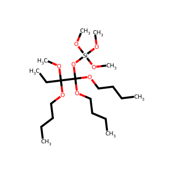 CCCCOC(CC)(OC)C(OCCCC)(OCCCC)O[Si](OC)(OC)OC